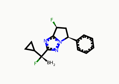 B[C@](F)(c1nc2n(n1)[C@H](c1ccccc1)C[C@@H]2F)C1CC1